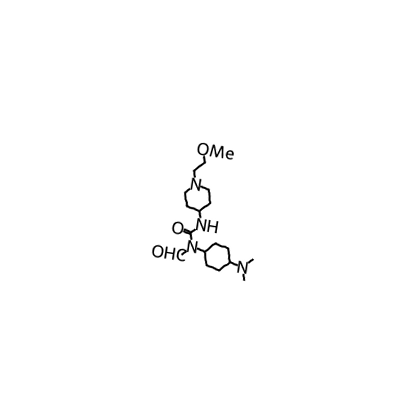 COCCN1CCC(NC(=O)N(C=O)C2CCC(N(C)C)CC2)CC1